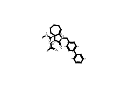 COC(=O)[C@@]12CCCCC=C1N(Cc1ccc(-c3ccccc3)cc1)C(=O)[C@H]2CC(C)=O